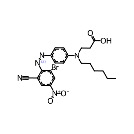 CCCCCCN(CCC(=O)O)c1ccc(/N=N\c2c(Br)cc([N+](=O)[O-])cc2C#N)cc1